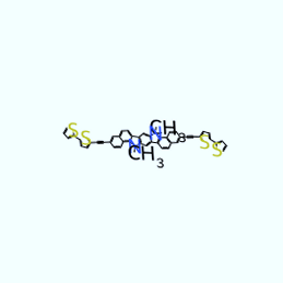 Cn1c2cc3c4ccc5cc(C#Cc6ccc(-c7cccs7)s6)ccc5c4n(C)c3cc2c2ccc3cc(C#Cc4ccc(-c5cccs5)s4)ccc3c21